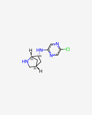 Clc1cnc(N[C@@H]2C[C@@H]3CN[C@H]2C3)cn1